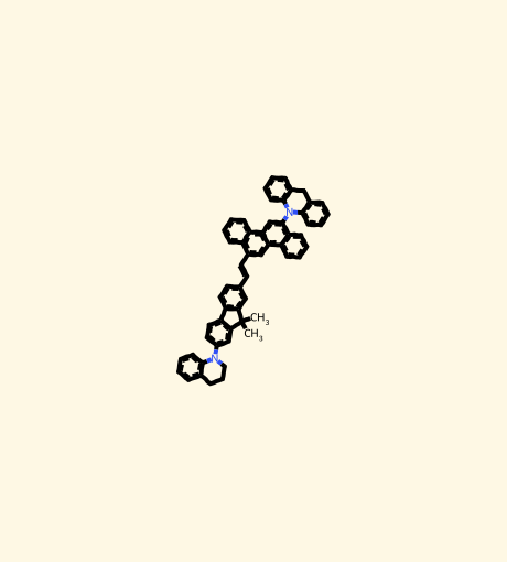 CC1(C)c2cc(/C=C/c3cc4c5ccccc5c(N5c6ccccc6Cc6ccccc65)cc4c4ccccc34)ccc2-c2ccc(N3CCCc4ccccc43)cc21